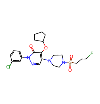 O=c1c(OC2CCCC2)c(N2CCN(S(=O)(=O)CCCF)CC2)cnn1-c1cccc(Cl)c1